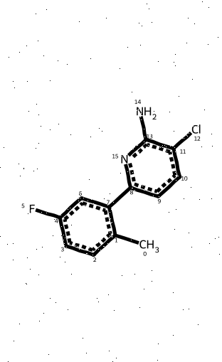 Cc1ccc(F)cc1-c1ccc(Cl)c(N)n1